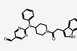 O=Cc1cnc(N(c2ccccc2)C2CCN(C(=O)Cc3c[nH]c4ccccc34)CC2)nc1